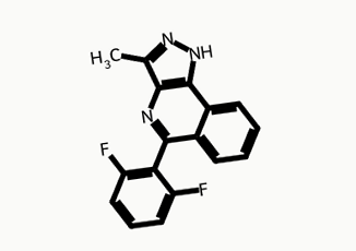 Cc1n[nH]c2c1nc(-c1c(F)cccc1F)c1ccccc12